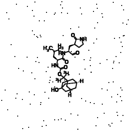 [2H]C([2H])(OC(=O)N[C@@H](CC(C)C)C(=O)N[C@H](C=O)C[C@@H]1CCNC1=O)C12C[C@@H]3C[C@@H](CC(O)(C3)C1)C2